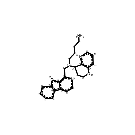 NCCCCN(Cc1nccc2c1oc1ccccc12)C1CCOc2cccnc21